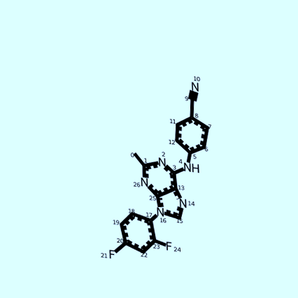 Cc1nc(Nc2ccc(C#N)cc2)c2ncn(-c3ccc(F)cc3F)c2n1